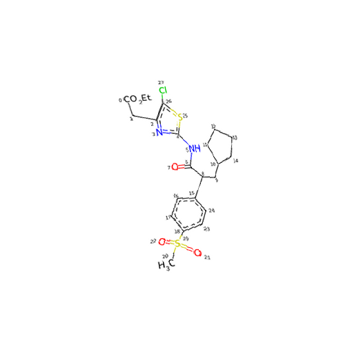 CCOC(=O)Cc1nc(NC(=O)C(CC2CCCC2)c2ccc(S(C)(=O)=O)cc2)sc1Cl